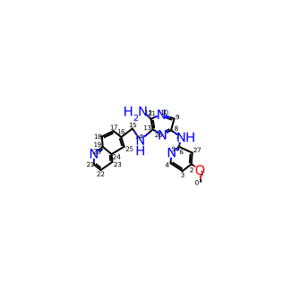 COc1ccnc(Nc2cnc(N)c(NCc3ccc4ncccc4c3)n2)c1